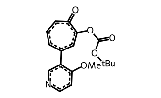 COc1ccncc1-c1cccc(=O)c(OC(=O)OC(C)(C)C)c1